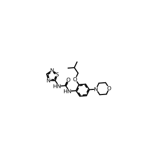 CC(C)COc1cc(N2CCOCC2)ccc1NC(=O)Nc1ncns1